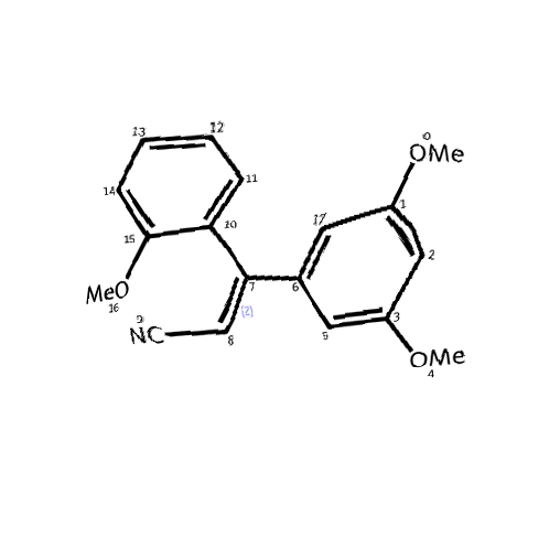 COc1cc(OC)cc(/C(=C/C#N)c2ccccc2OC)c1